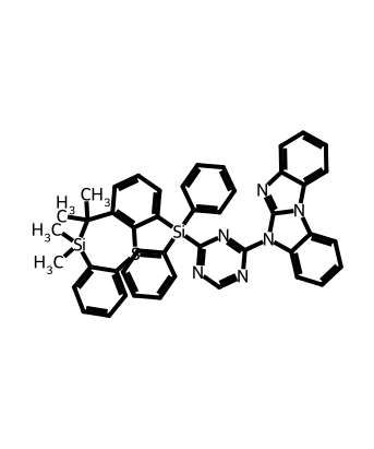 CC1(C)c2cccc([Si](c3ccccc3)(c3ccccc3)c3ncnc(-n4c5ccccc5n5c6ccccc6nc45)n3)c2Sc2ccccc2[Si]1(C)C